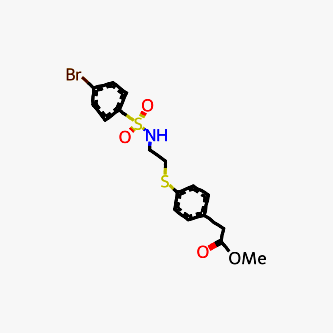 COC(=O)Cc1ccc(SCCNS(=O)(=O)c2ccc(Br)cc2)cc1